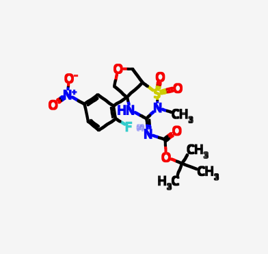 CN1/C(=N\C(=O)OC(C)(C)C)NC2(c3cc([N+](=O)[O-])ccc3F)COCC2S1(=O)=O